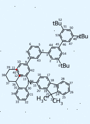 CC(C)(C)c1cc(-c2cccc(-c3cccc(N(c4ccc5c(c4)C(C)(C)c4ccccc4-5)c4ccccc4C4CCCCC4)c3)c2)cc(-c2cc(C(C)(C)C)cc(C(C)(C)C)c2)c1